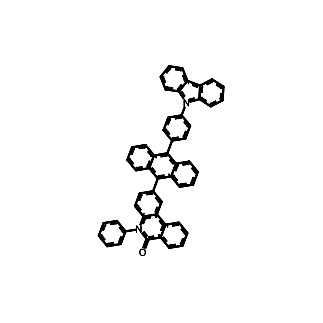 O=c1c2ccccc2c2cc(-c3c4ccccc4c(-c4ccc(-n5c6ccccc6c6ccccc65)cc4)c4ccccc34)ccc2n1-c1ccccc1